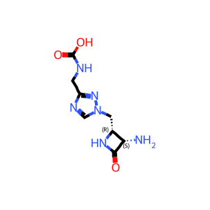 N[C@@H]1C(=O)N[C@@H]1Cn1cnc(CNC(=O)O)n1